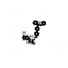 O=C(N[C@@H](CSCc1ccc(-c2ccc(-c3c(Cc4ccccc4)oc4ccccc34)cc2)cc1)C(=O)O)c1ccc2[nH]ccc2c1